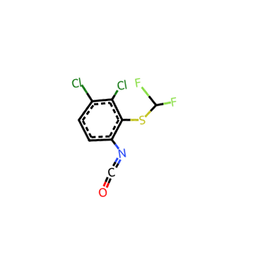 O=C=Nc1ccc(Cl)c(Cl)c1SC(F)F